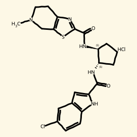 CN1CCc2nc(C(=O)N[C@H]3CCC[C@@H]3NC(=O)c3cc4cc(Cl)ccc4[nH]3)sc2C1.Cl